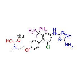 CN(CCOc1ccc(-c2c(Cl)cc(Nc3n[nH]c(N)n3)cc2C(P)(P)I)cc1)C(O)OC(C)(C)C